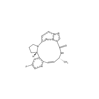 C[C@@H]1/C=C\c2ncc(F)cc2[C@@H]2CCCN2c2ccn3ncc(c3n2)C(=O)N1